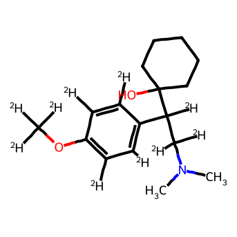 [2H]c1c([2H])c(C([2H])(C2(O)CCCCC2)C([2H])([2H])N(C)C)c([2H])c([2H])c1OC([2H])([2H])[2H]